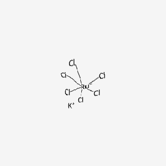 [Cl][Ru-]([Cl])([Cl])([Cl])([Cl])[Cl].[K+]